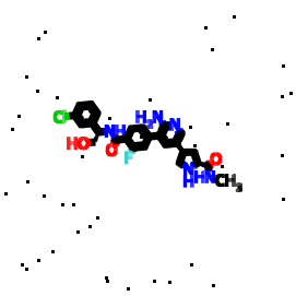 CNC(=O)[C@@H]1C[C@H](c2cnc(N)c(C3=CCC(C(=O)N[C@H](CO)c4cccc(Cl)c4)C(F)=C3)c2)CN1